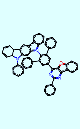 C1=CC2c3cc4c5ccccc5n(-c5c(-c6ccccc6)cc(-c6nc(-c7ccccc7)nc7c6oc6ccccc67)cc5-c5ccccc5)c4cc3N(c3ccccc3)C2C=C1